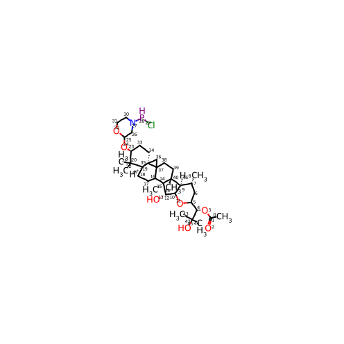 CC(=O)O[C@@H](C1C[C@@H](C)[C@H]2C(O1)[C@H](O)[C@@]1(C)C3CC[C@H]4C(C)(C)[C@@H](OC5CN(PCl)CCO5)CC[C@@]45CC35CC[C@]21C)C(C)(C)O